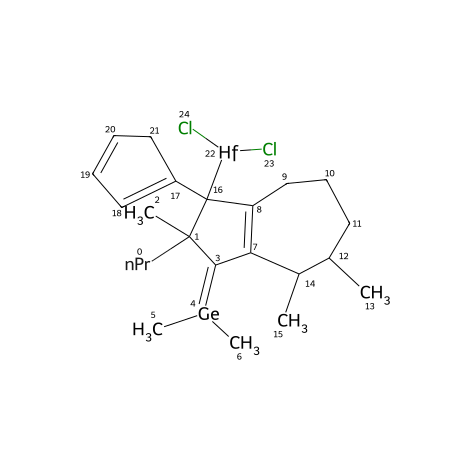 CCCC1(C)[C](=[Ge]([CH3])[CH3])C2=C(CCCC(C)C2C)[C]1(C1=CC=CC1)[Hf]([Cl])[Cl]